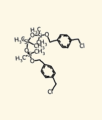 C[Si](C)(OCc1ccc(CCl)cc1)O[Si](C)(C)O[Si](C)(C)OCc1ccc(CCl)cc1